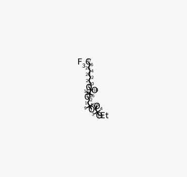 CCOC(C)(C)C(=O)OC(C)(C)CCOC(C)(C)C(=O)OCCCCCCCC(F)(F)F